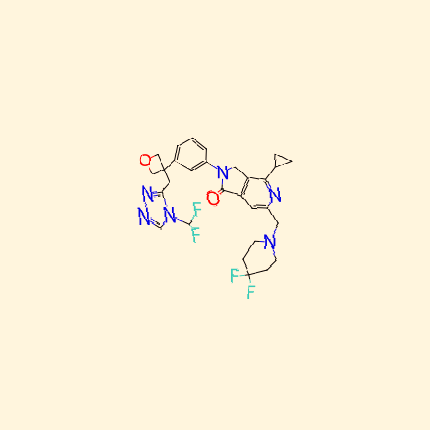 O=C1c2cc(CN3CCC(F)(F)CC3)nc(C3CC3)c2CN1c1cccc(C2(Cc3nncn3C(F)F)COC2)c1